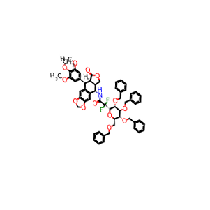 COc1cc([C@@H]2c3cc4c(cc3[C@@H](NC(=O)C(F)(F)[C@H]3O[C@H](COCc5ccccc5)[C@@H](OCc5ccccc5)[C@H](OCc5ccccc5)[C@H]3OCc3ccccc3)C3COC(=O)[C@@H]32)OCO4)cc(OC)c1OC